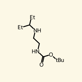 CCC(CC)NCCNC(=O)OC(C)(C)C